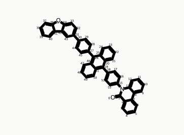 O=c1c2ccccc2c2ccccc2n1-c1ccc(-c2c3ccccc3c(-c3ccc(-c4ccc5oc6ccccc6c5c4)cc3)c3ccccc23)cc1